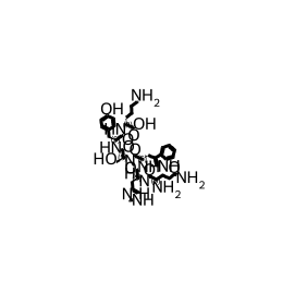 NCCCC[C@@H](NC(=O)[C@H](Cc1ccc(O)cc1)NC(=O)[C@H](CO)NC(=O)[C@H](Cc1c[nH]c2ccccc12)NC(=O)[C@H](Cc1c[nH]cn1)NC(=O)[C@@H](N)CCC(N)=O)C(=O)O